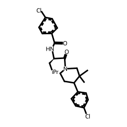 CC(C)C[C@@H](NC(=O)c1ccc(Cl)cc1)C(=O)N1CCC(c2ccc(Cl)cc2)C(C)(C)C1